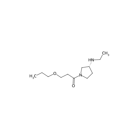 CCCOCCC(=O)N1CC[C@@H](NCC)C1